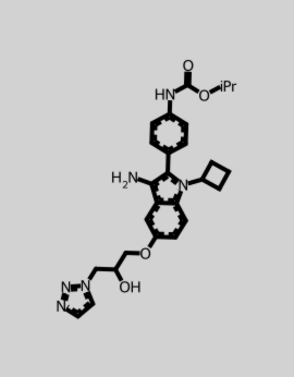 CC(C)OC(=O)Nc1ccc(-c2c(N)c3cc(OCC(O)Cn4ccnn4)ccc3n2C2CCC2)cc1